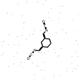 O=C=NC=C1CCCC(=CN=C=O)C1